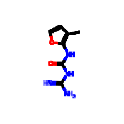 Cc1ccoc1NC(=O)NC(=N)N